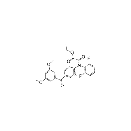 CCOC(=O)C(=O)N(c1ccc(C(=O)c2cc(OC)cc(OC)c2)cn1)c1c(F)cccc1F